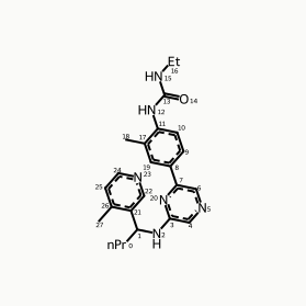 CCCC(Nc1cncc(-c2ccc(NC(=O)NCC)c(C)c2)n1)c1cnccc1C